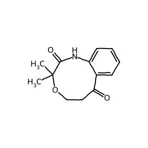 CC1(C)OCCC(=O)c2ccccc2NC1=O